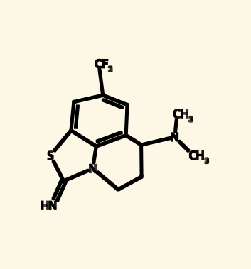 CN(C)C1CCn2c(=N)sc3cc(C(F)(F)F)cc1c32